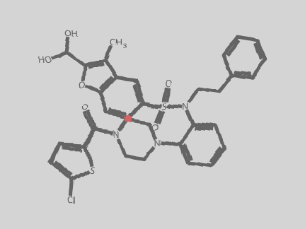 Cc1c(C(O)O)oc2ccc(S(=O)(=O)N(CCc3ccccc3)c3ccccc3N3CCN(C(=O)c4ccc(Cl)s4)CC3)cc12